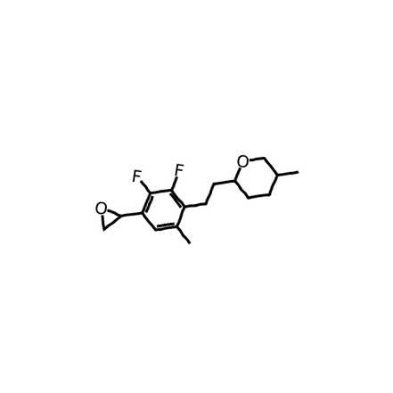 Cc1cc(C2CO2)c(F)c(F)c1CCC1CCC(C)CO1